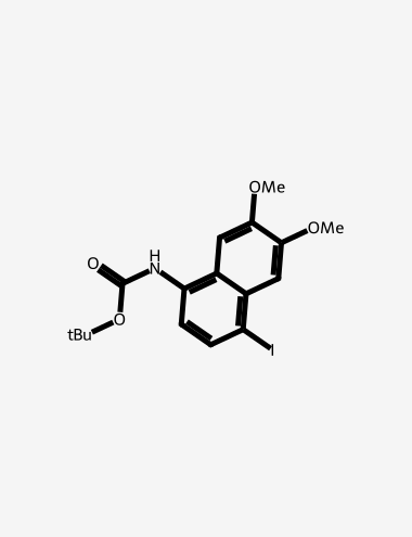 COc1cc2c(I)ccc(NC(=O)OC(C)(C)C)c2cc1OC